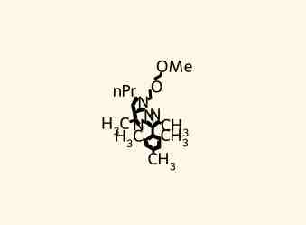 CCCc1cc2c(C)nc3c(-c4c(C)cc(C)cc4C)c(C)nn3c2n1CCOCCOC